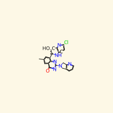 Cc1cc([C@@H](C)Nc2ccc(Cl)nc2C(=O)O)c2nc(N3Cc4cccnc4C3)n(C)c(=O)c2c1